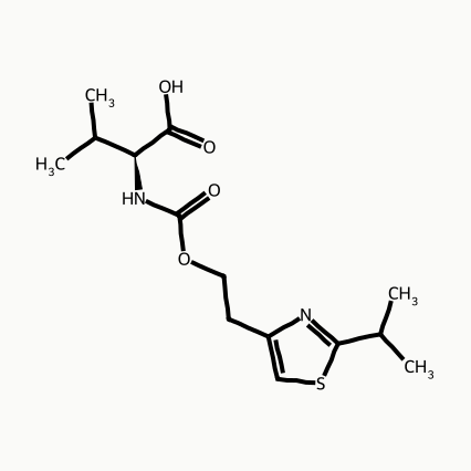 CC(C)c1nc(CCOC(=O)N[C@H](C(=O)O)C(C)C)cs1